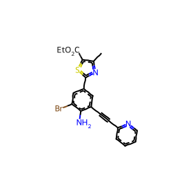 CCOC(=O)c1sc(-c2cc(Br)c(N)c(C#Cc3ccccn3)c2)nc1C